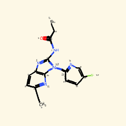 Cc1ccc2nc(NC(=O)CC(C)(C)C)n(-c3ccc(F)cn3)c2n1